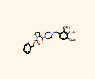 COc1ccc(CN2CCN(C(=O)[C@@H]3CCCN3C(=O)OCc3ccccc3)CC2)c(OC)c1OC